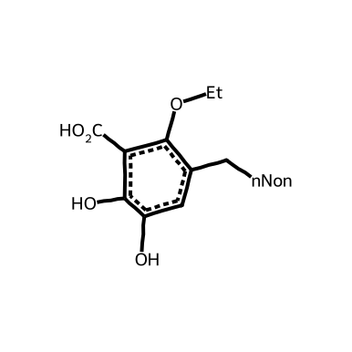 CCCCCCCCCCc1cc(O)c(O)c(C(=O)O)c1OCC